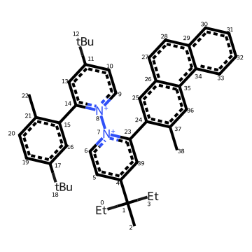 CCC(C)(CC)c1cc[n+](-[n+]2ccc(C(C)(C)C)cc2-c2cc(C(C)(C)C)ccc2C)c(-c2cc3ccc4ccccc4c3cc2C)c1